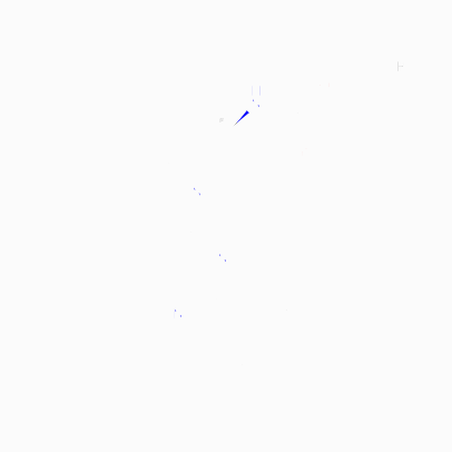 Cc1ccc2c(N3CC[C@@H](NC(=O)OCC(C)(C)C)C3)nc(-c3ccccc3C(F)F)nc2c1